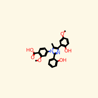 COc1ccc(O)c(-c2nc(-c3ccccc3O)n(-c3ccc(C(=O)O)c(OC)c3)c2C)c1